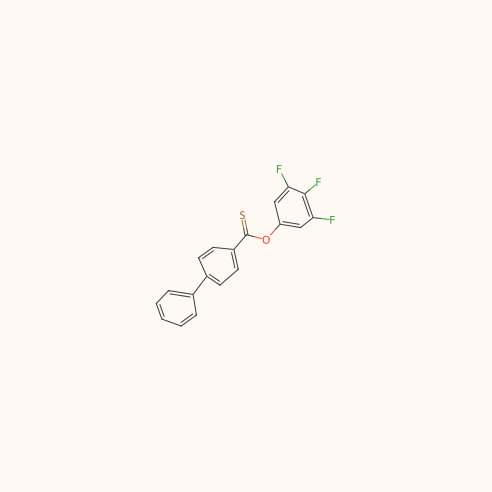 Fc1cc(OC(=S)c2ccc(-c3ccccc3)cc2)cc(F)c1F